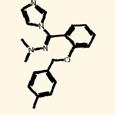 Cc1ccc(COc2ccccc2C(=NN(C)C)n2ccnc2)cc1